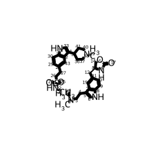 CN(C)CCc1c[nH]c2ccc(C[C@H]3COC(=O)N3)cc12.CNS(=O)(=O)CCc1ccc2[nH]cc(C3CCN(C)CC3)c2c1